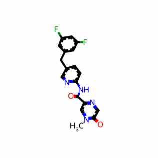 Cn1cc(C(=O)Nc2ccc(Cc3cc(F)cc(F)c3)cn2)ncc1=O